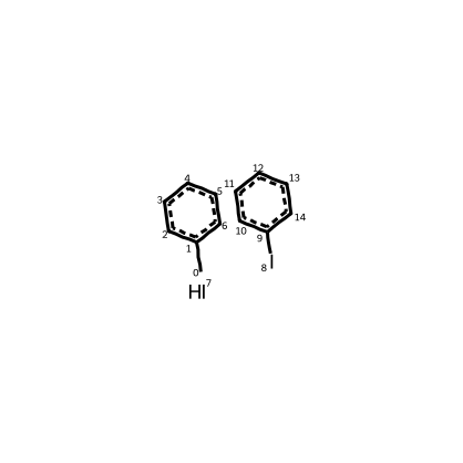 Cc1ccccc1.I.Ic1ccccc1